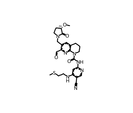 CO[C@H]1CCN(Cc2cc3c(nc2C=O)N(C(=O)Nc2cc(NCCSC)c(C#N)cn2)CCC3)C1=O